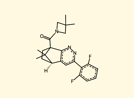 CC1(C)CN(C(=O)C23CC[C@H](c4cc(-c5c(F)cccc5F)nnc42)C3(C)C)C1